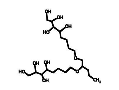 CCCC(COCCCCC(O)C(O)C(O)CO)OCCCCC(O)C(O)C(O)CO